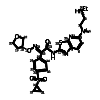 CCNCCN(C)c1ccc2nc(NC(=O)/C(=N/O[C@@H]3CCOC3)c3ccc(S(=O)(=O)C4CC4)cc3)sc2n1